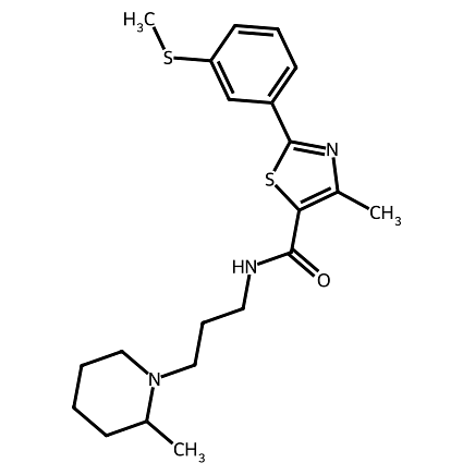 CSc1cccc(-c2nc(C)c(C(=O)NCCCN3CCCCC3C)s2)c1